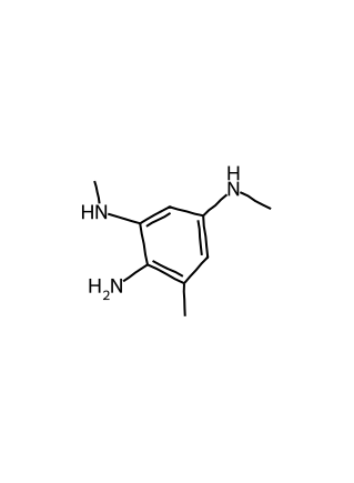 CNc1cc(C)c(N)c(NC)c1